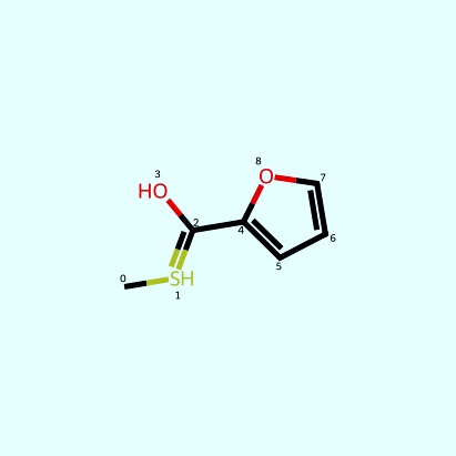 C[SH]=C(O)c1ccco1